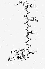 C=C(O)C(CSC/C=C(\C)CC/C=C(\C)CCC=C(C)C)NC(=C)C(CCC)NC(C)=O